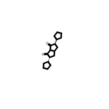 O=C1C2C(=O)[C@@H](C3CCCC3)CC2C[C@@H]1C1CCCC1